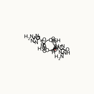 Nc1nc2c(ncn2[C@@H]2O[C@@H]3COP(=O)(S)O[C@H]4C[C@H](c5cnn6c(N)ncnc56)OC4COP(=O)(S)O[C@@H]2[C@@H]3F)c(=O)[nH]1